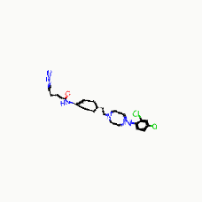 N#CCCCC(=O)N[C@H]1CC[C@H](CCN2CCN(c3ccc(Cl)cc3Cl)CC2)CC1